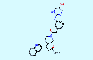 COC(=O)CC(c1cnc2ccccc2c1)C1CCN(C(=O)Cc2cccc(NC3=NCC(O)CN3)c2)CC1